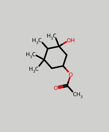 CC(=O)OC1CC(C)(C)C(C)C(C)(O)C1